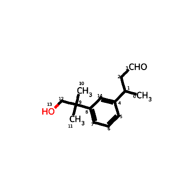 CC(CC=O)c1cccc(C(C)(C)CO)c1